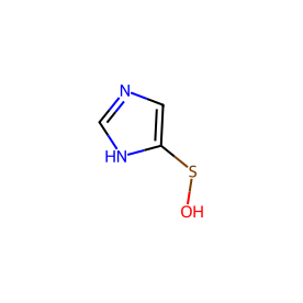 OSc1cnc[nH]1